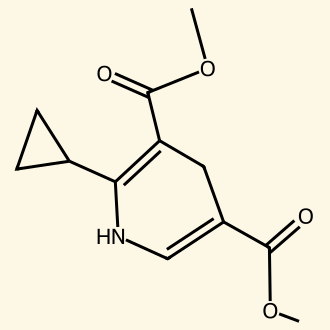 COC(=O)C1=CNC(C2CC2)=C(C(=O)OC)C1